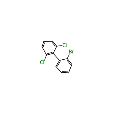 Clc1cccc(Cl)c1-c1ccccc1Br